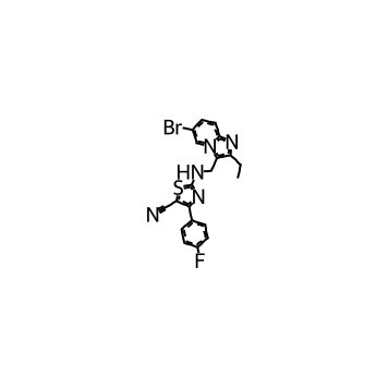 CCc1nc2ccc(Br)cn2c1CNc1nc(-c2ccc(F)cc2)c(C#N)s1